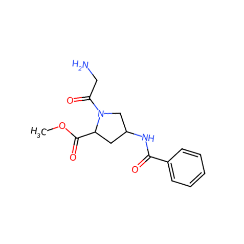 COC(=O)C1CC(NC(=O)c2ccccc2)CN1C(=O)CN